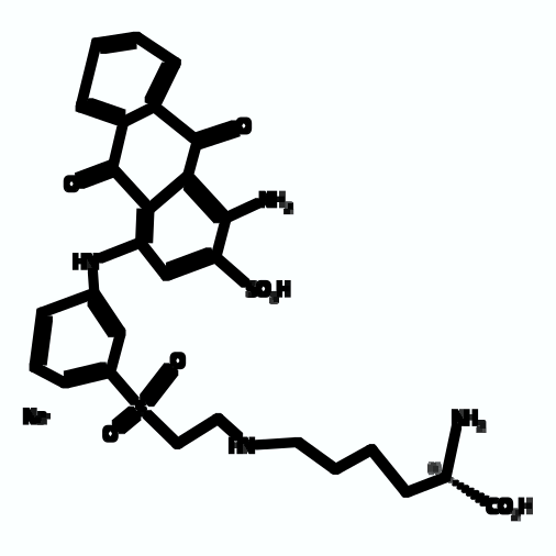 Nc1c(S(=O)(=O)O)cc(Nc2cccc(S(=O)(=O)CCNCCCC[C@H](N)C(=O)O)c2)c2c1C(=O)c1ccccc1C2=O.[Na]